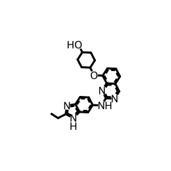 CCc1nc2ccc(Nc3ncc4cccc(OC5CCC(O)CC5)c4n3)cc2[nH]1